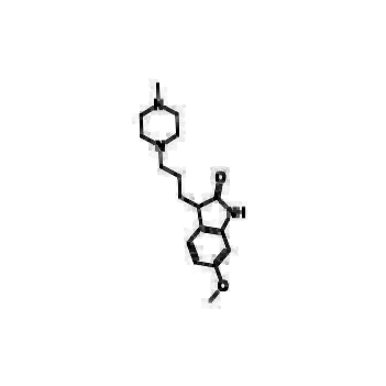 COc1ccc2c(c1)NC(=O)C2CCCN1CCN(C)CC1